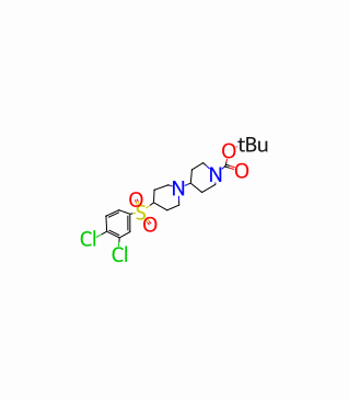 CC(C)(C)OC(=O)N1CCC(N2CCC(S(=O)(=O)c3ccc(Cl)c(Cl)c3)CC2)CC1